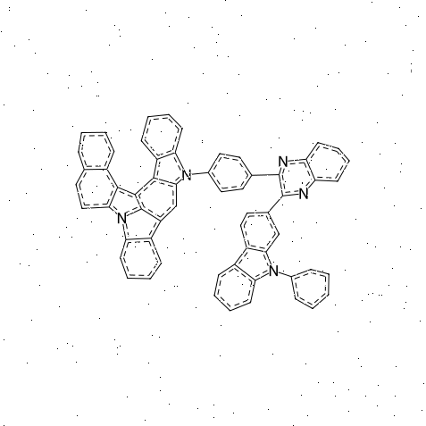 c1ccc(-n2c3ccccc3c3ccc(-c4nc5ccccc5nc4-c4ccc(-n5c6ccccc6c6c7c8c9ccccc9ccc8n8c9ccccc9c(cc65)c78)cc4)cc32)cc1